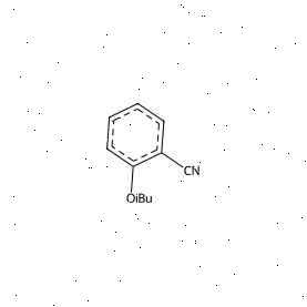 CC(C)COc1ccccc1C#N